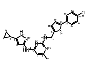 Cc1cc(Nc2cc(C3CC3)[nH]n2)nc(NCc2ccc(-c3ccc(Cl)cc3)s2)n1